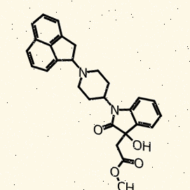 COC(=O)CC1(O)C(=O)N(C2CCN(C3Cc4cccc5cccc3c45)CC2)c2ccccc21